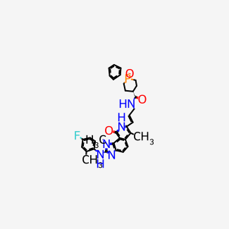 Cc1cc(F)ccc1Nc1nc2ccc3c(C)c(/C=C/CNC(=O)[C@H]4CC[P@](=O)(c5ccccc5)CC4)[nH]c(=O)c3c2n1C